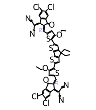 CCOc1cc(/C=C2\C(=O)c3cc(Cl)c(Cl)cc3C2=C(C#N)C#N)sc1-c1cc2c(s1)-c1sc(-c3sc(/C=C4\C(=O)c5cc(Cl)c(Cl)cc5C4=C(C#N)C#N)cc3OCC)cc1C2(CC)CC